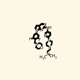 CN(C)CCN1CCN(c2ccc(Nc3ncc4ccn(-c5cc(F)c(CN6CCOCC6)c(F)c5)c4n3)cn2)CC1